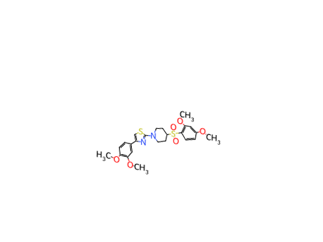 COc1ccc(S(=O)(=O)C2CCN(c3nc(-c4ccc(OC)c(OC)c4)cs3)CC2)c(OC)c1